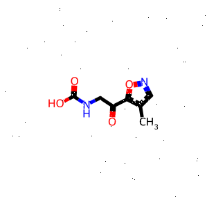 Cc1cnoc1C(=O)CNC(=O)O